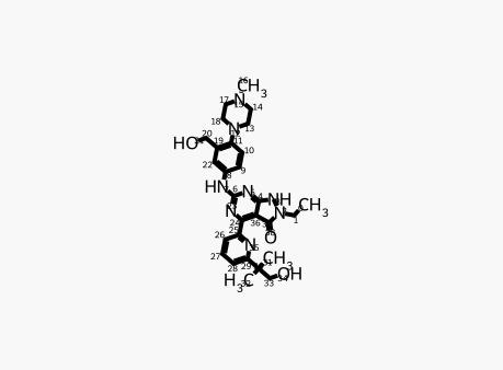 CCn1[nH]c2nc(Nc3ccc(N4CCN(C)CC4)c(CO)c3)nc(-c3cccc(C(C)(C)CO)n3)c2c1=O